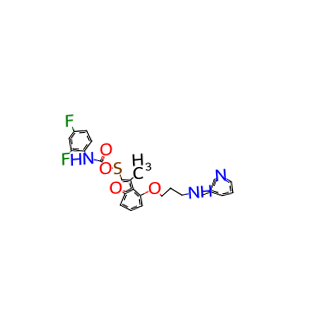 Cc1c(SOC(=O)Nc2ccc(F)cc2F)oc2cccc(OCCCNCc3cccnc3)c12